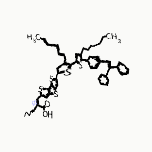 CCCCCCc1cc(-c2sc(-c3cc4sc5cc(/C=C(/C#N)C(=O)O)sc5c4s3)cc2CCCCCC)sc1-c1ccc(C=C(c2ccccc2)c2ccccc2)cc1